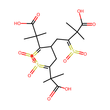 CC(C)(C(=O)O)C(CC(CC(=S(=O)=O)C(C)(C)C(=O)O)C(=S(=O)=O)C(C)(C)C(=O)O)=S(=O)=O